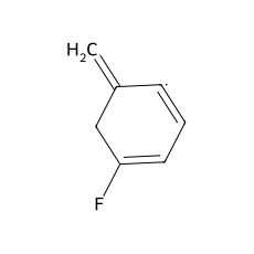 C=C1[C]=CC=C(F)C1